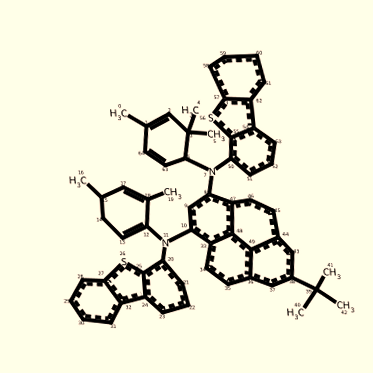 CC1=CC(C)(C)C(N(c2cc(N(C3=CCC(C)C=C3C)c3cccc4c3sc3ccccc34)c3ccc4cc(C(C)(C)C)cc5ccc2c3c45)c2cccc3c2sc2ccccc23)C=C1